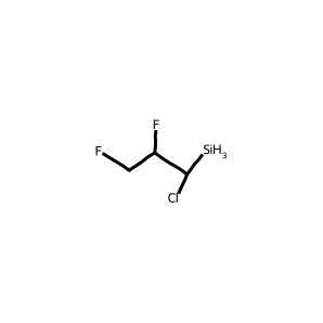 FCC(F)C([SiH3])Cl